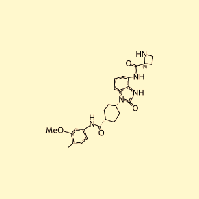 COc1cc(NC(=O)[C@H]2CC[C@@H](n3c(=O)[nH]c4c(NC(=O)[C@@H]5CCN5)cccc43)CC2)ccc1C